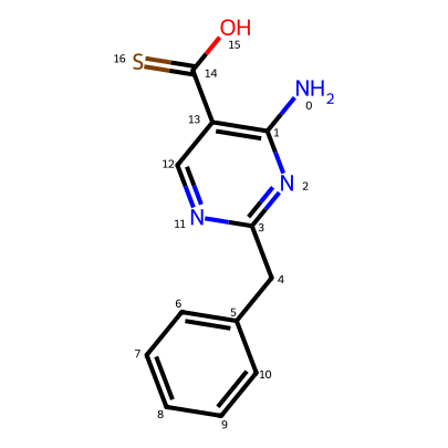 Nc1nc(Cc2ccccc2)ncc1C(O)=S